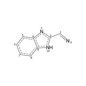 [N]=Cc1nc2ccccc2[nH]1